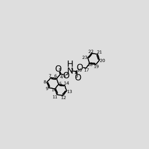 O=C(NOC(=O)c1cccc2ccccc12)OCc1ccccc1